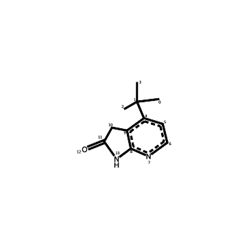 CC(C)(C)c1ccnc2c1CC(=O)N2